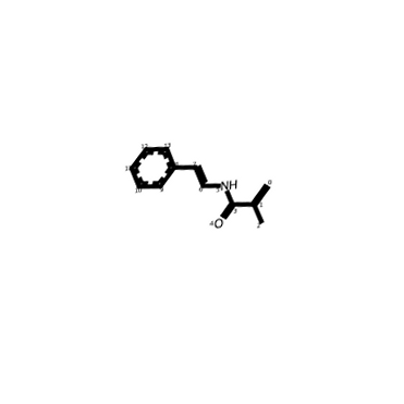 C=C(C)C(=O)NC=Cc1ccccc1